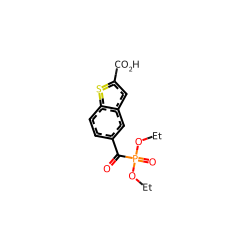 CCOP(=O)(OCC)C(=O)c1ccc2sc(C(=O)O)cc2c1